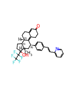 C[C@]12C[C@H](c3ccc(C=Cc4ccccn4)cc3)C3=C4CCC(=O)C=C4CC[C@H]3[C@@H]1CC[C@@]2(O)C(F)(F)C(F)(F)F